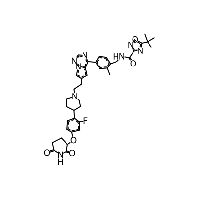 Cc1cc(-c2ncnn3cc(CCN4CCC(c5ccc(OC6CCC(=O)NC6=O)cc5F)CC4)cc23)ccc1CNC(=O)c1noc(C(C)(C)C)n1